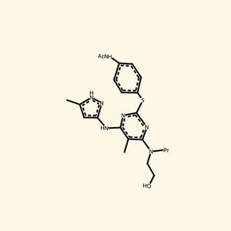 CC(=O)Nc1ccc(Sc2nc(Nc3cc(C)[nH]n3)c(C)c(N(CCO)C(C)C)n2)cc1